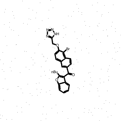 CCCCc1oc2ccccc2c1C(=O)c1ccc2c(Br)c(OCc3nnn[nH]3)ccc2c1